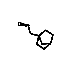 O=[C]CC12CCC(CC1)C2